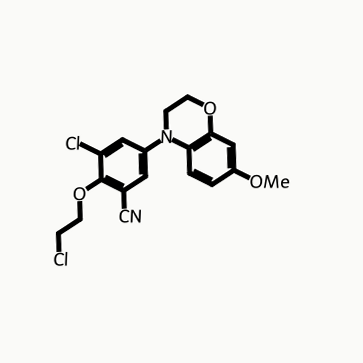 COc1ccc2c(c1)OCCN2c1cc(Cl)c(OCCCl)c(C#N)c1